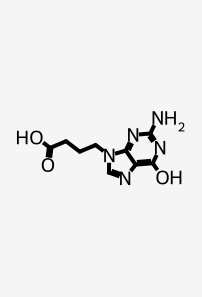 Nc1nc(O)c2ncn(CCCC(=O)O)c2n1